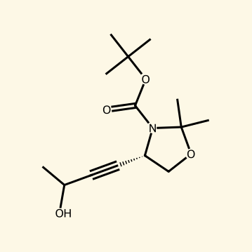 CC(O)C#C[C@H]1COC(C)(C)N1C(=O)OC(C)(C)C